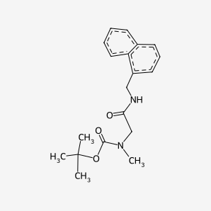 CN(CC(=O)NCc1cccc2ccccc12)C(=O)OC(C)(C)C